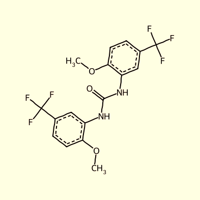 COc1ccc(C(F)(F)F)cc1NC(=O)Nc1cc(C(F)(F)F)ccc1OC